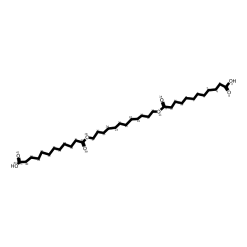 O=C(O)CCCCCCCCCCC(=O)OCCCCCCCCCCCCOC(=O)CCCCCCCCCCC(=O)O